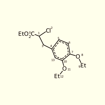 CCOC(=O)C(Cl)Cc1ccc(OCC)c(OCC)c1